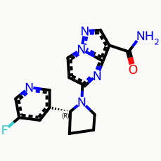 NC(=O)c1cnn2ccc(N3CCC[C@@H]3c3cncc(F)c3)nc12